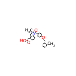 Cc1ccccc1CCOc1ccc(C(=O)n2c(C)cc3c(CC(=O)O)cccc32)cc1